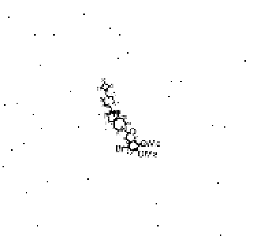 COc1cc(Br)c(CC(=O)N2CCc3cnc(N4CCN(C5CCC5)CC4)nc3CC2)cc1OC